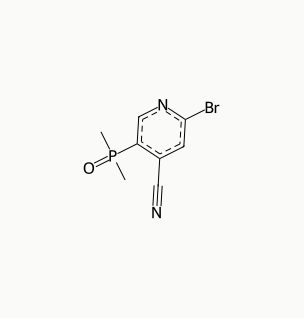 CP(C)(=O)c1cnc(Br)cc1C#N